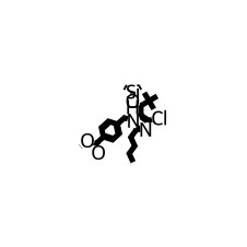 CCCCc1nc(Cl)c(C(O[SiH](C)C)C(C)(C)C)n1Cc1ccc(C(=O)OC)cc1